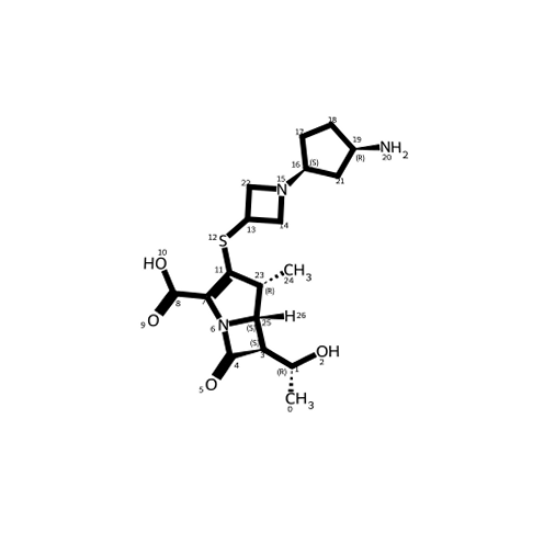 C[C@@H](O)[C@H]1C(=O)N2C(C(=O)O)=C(SC3CN([C@H]4CC[C@@H](N)C4)C3)[C@H](C)[C@H]12